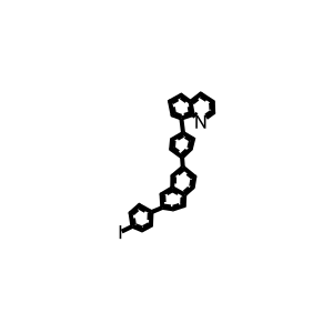 Ic1ccc(-c2ccc3ccc(-c4ccc(-c5cccc6cccnc56)cc4)cc3c2)cc1